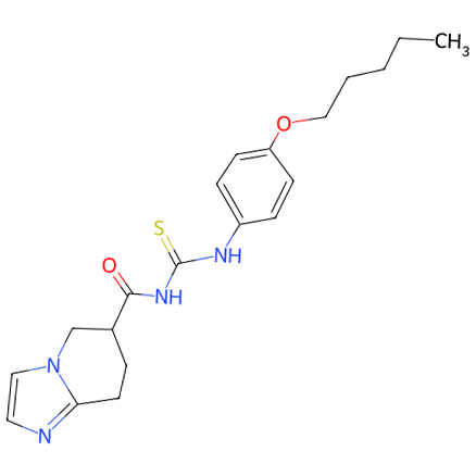 CCCCCOc1ccc(NC(=S)NC(=O)C2CCc3nccn3C2)cc1